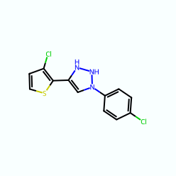 Clc1ccc(N2C=C(c3sccc3Cl)NN2)cc1